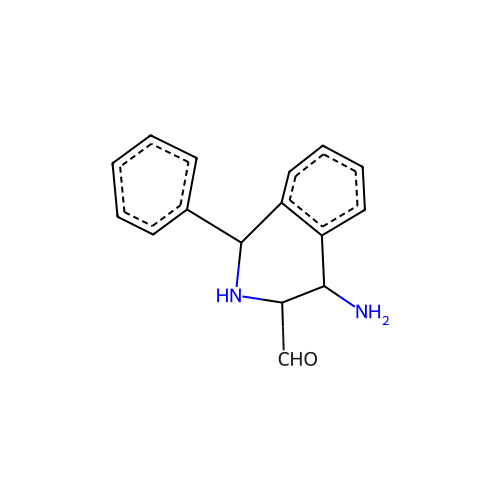 NC1c2ccccc2C(c2ccccc2)NC1C=O